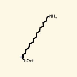 CCCCCCCC/C=C\CCCCCCCCCCCCCCN